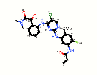 C=CC(=O)Nc1cc(Nc2ncc(Cl)c(Nc3ccccc3C(=O)C(=O)N(C)C)n2)c(OC)cc1F